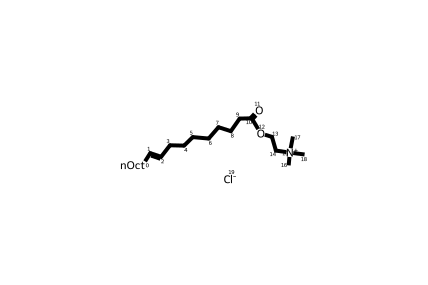 CCCCCCCCC=CCCCCCCCC(=O)OCC[N+](C)(C)C.[Cl-]